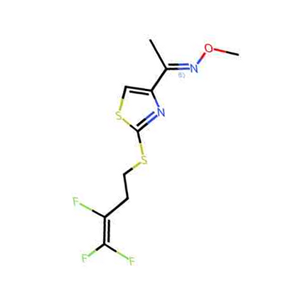 CO/N=C(\C)c1csc(SCCC(F)=C(F)F)n1